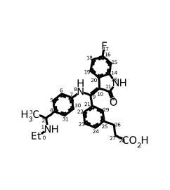 CCNC(C)c1ccc(NC(=C2C(=O)Nc3cc(F)ccc32)c2cccc(CCC(=O)O)c2)cc1